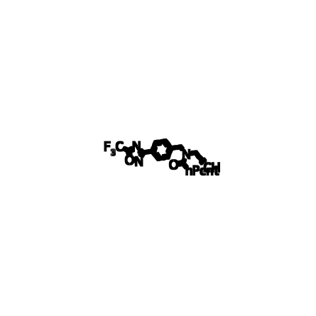 C#CCN(Cc1ccc(-c2noc(C(F)(F)F)n2)cc1)C(=O)CCCCC